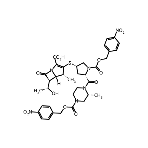 C[C@@H]1CN(C(=O)OCc2ccc([N+](=O)[O-])cc2)CCN1C(=O)[C@@H]1C[C@H](SC2=C(C(=O)O)N3C(=O)[C@H]([C@@H](C)O)[C@H]3[C@H]2C)CN1C(=O)OCc1ccc([N+](=O)[O-])cc1